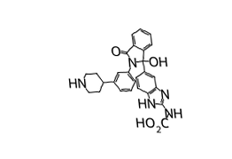 O=C(O)Nc1nc2cc(C3(O)c4ccccc4C(=O)N3c3cccc(C4CCNCC4)c3)ccc2[nH]1